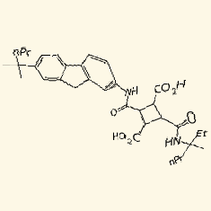 CCCC(C)(CC)NC(=O)C1C(C(=O)O)C(C(=O)Nc2ccc3c(c2)Cc2cc(C(C)(C)CCC)ccc2-3)C1C(=O)O